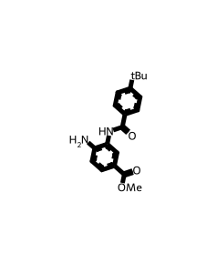 COC(=O)c1ccc(N)c(NC(=O)c2ccc(C(C)(C)C)cc2)c1